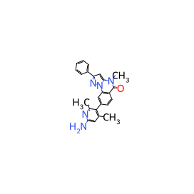 Cc1cc(N)nc(C)c1-c1ccc2c(=O)n(C)c3cc(-c4ccccc4)nn3c2c1